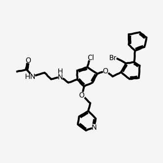 CC(=O)NCCNCc1cc(Cl)c(OCc2cccc(-c3ccccc3)c2Br)cc1OCc1cccnc1